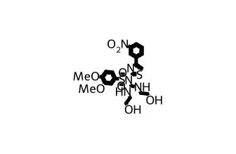 COc1ccc(S(=O)(=O)N(c2nc(-c3cccc([N+](=O)[O-])c3)cs2)C(NCCO)NCCO)cc1OC